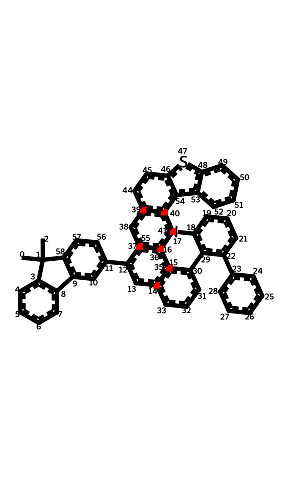 CC1(C)c2ccccc2-c2cc(-c3cccc(N(c4cccc(-c5ccccc5)c4-c4ccccc4-c4ccccc4)c4cccc5sc6ccccc6c45)c3)ccc21